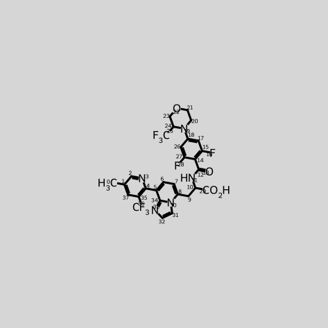 Cc1cnc(-c2ccc(CC(NC(=O)c3c(F)cc(N4CCOCC4C(F)(F)F)cc3F)C(=O)O)n3ccnc23)c(C(F)(F)F)c1